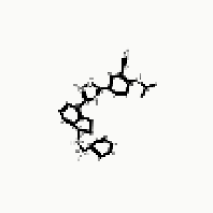 CC(C)Oc1ccc(-c2nc(-c3cccc4c3CC[C@H]4N[C@@H](C)c3ccccc3)no2)cc1C#N